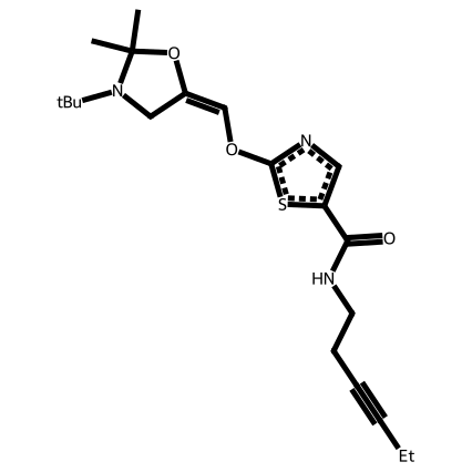 CCC#CCCNC(=O)c1cnc(OC=C2CN(C(C)(C)C)C(C)(C)O2)s1